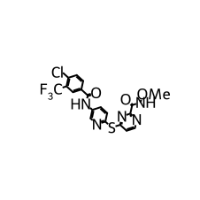 CONC(=O)c1nccc(Sc2ccc(NC(=O)c3ccc(Cl)c(C(F)(F)F)c3)cn2)n1